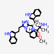 COc1ccc(Cn2c(CCc3c[nH]c4ccccc34)nnc2[C@H](Cc2c[nH]c3ccccc23)NC(=O)C(C)(C)N)cc1